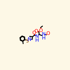 CCOC(=O)C(CNC=O)NC(=O)C1CN(Sc2ccccc2C)C1